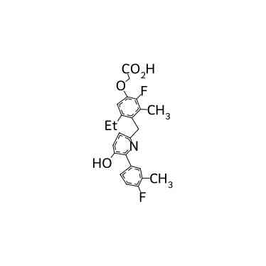 CCc1cc(OCC(=O)O)c(F)c(C)c1Cc1ccc(O)c(-c2ccc(F)c(C)c2)n1